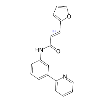 O=C(/C=C/c1ccco1)Nc1cccc(-c2ccccn2)c1